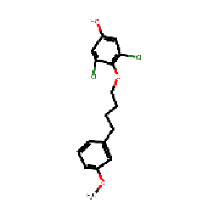 Oc1cc(Cl)c(OCCCCc2cccc(OC(F)(F)F)c2)c(Cl)c1